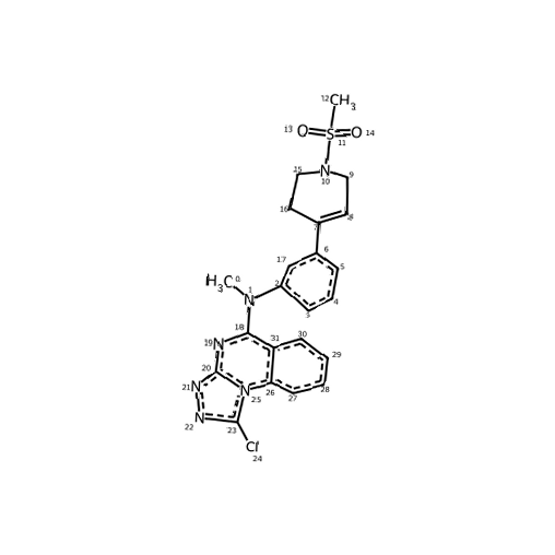 CN(c1cccc(C2=CCN(S(C)(=O)=O)CC2)c1)c1nc2nnc(Cl)n2c2ccccc12